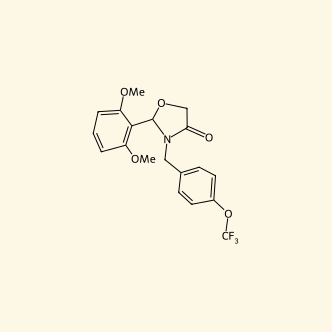 COc1cccc(OC)c1C1OCC(=O)N1Cc1ccc(OC(F)(F)F)cc1